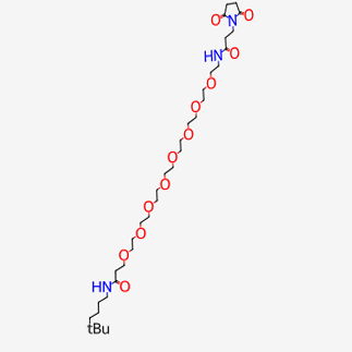 CC(C)(C)CCCCNC(=O)CCOCCOCCOCCOCCOCCOCCOCCOCCNC(=O)CCN1C(=O)CCC1=O